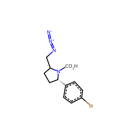 [N-]=[N+]=NCC1CC[C@@H](c2ccc(Br)cc2)N1C(=O)O